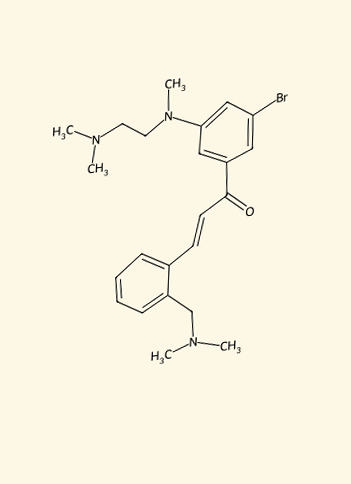 CN(C)CCN(C)c1cc(Br)cc(C(=O)/C=C/c2ccccc2CN(C)C)c1